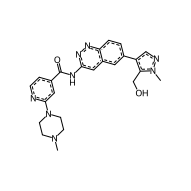 CN1CCN(c2cc(C(=O)Nc3cc4cc(-c5cnn(C)c5CO)ccc4nn3)ccn2)CC1